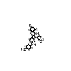 O=S1(=O)CC[C@@H](n2c(Nc3c(F)cc(F)cc3F)nc3cnc(NC4CCC(O)CC4)nc32)C1